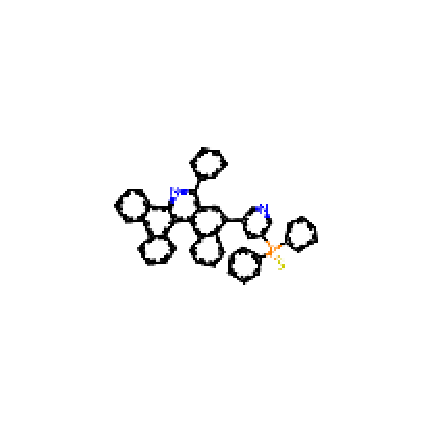 S=P(c1ccccc1)(c1ccccc1)c1cncc(-c2cc3c(-c4ccccc4)nc4c5ccccc5c5ccccc5c4c3c3ccccc23)c1